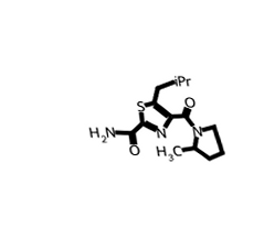 CC(C)Cc1sc(C(N)=O)nc1C(=O)N1CCCC1C